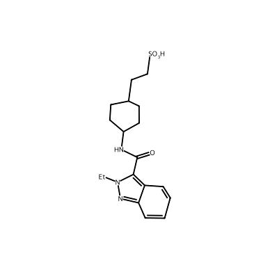 CCn1nc2ccccc2c1C(=O)NC1CCC(CCS(=O)(=O)O)CC1